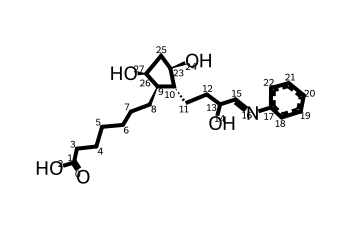 O=C(O)CCCCCC[C@@H]1[C@@H](CCC(O)/C=N/c2ccccc2)[C@H](O)C[C@@H]1O